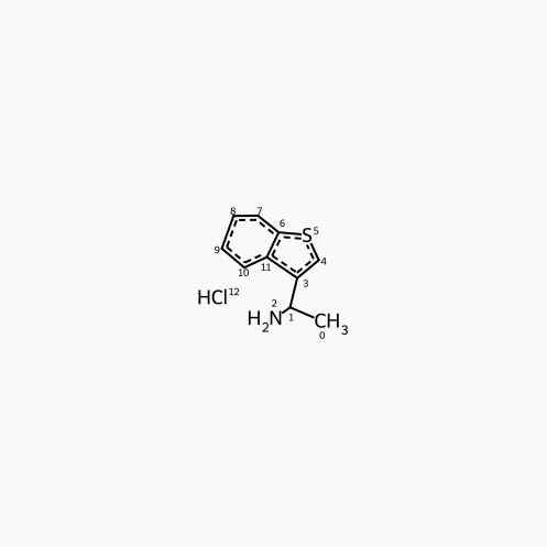 CC(N)c1csc2ccccc12.Cl